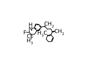 C=C(CCC(=C)c1ccc2c(c1)CC(C)(F)C(F)N2)C1=C(C)CCC=C1